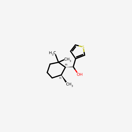 C[C@H]1CCCC(C)(C)[C@@H]1C(O)c1ccsc1